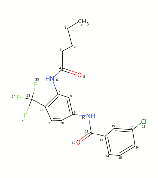 CCCCC(=O)Nc1cc(NC(=O)c2cccc(Cl)c2)ccc1C(F)(F)F